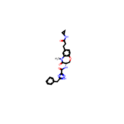 CN1C(=O)[C@@H](NC(=O)c2n[nH]c(Cc3ccccc3)n2)COc2ccc(CCC(=O)NC3CC3)cc21